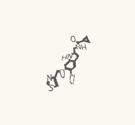 O=C(NCc1cc2cc(Cl)c(OCc3cscn3)cc2[nH]1)C1CC1